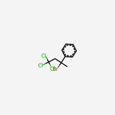 CC(Br)(CC(Cl)(Cl)Cl)c1ccccc1